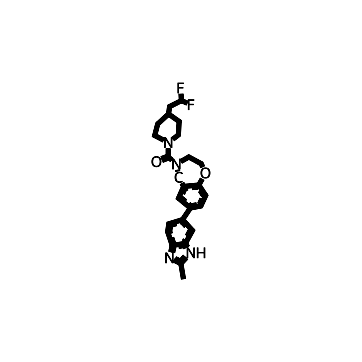 Cc1nc2ccc(-c3ccc4c(c3)CN(C(=O)N3CCC(CC(F)F)CC3)CCO4)cc2[nH]1